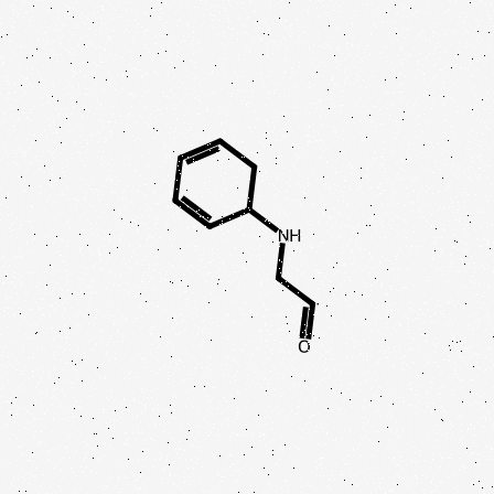 O=[C]CNC1C=CC=CC1